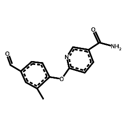 Cc1cc(C=O)ccc1Oc1ccc(C(N)=O)cn1